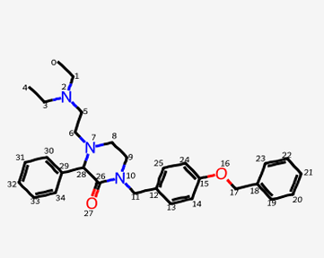 CCN(CC)CCN1CCN(Cc2ccc(OCc3ccccc3)cc2)C(=O)C1c1ccccc1